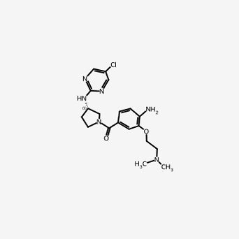 CN(C)CCOc1cc(C(=O)N2CC[C@H](Nc3ncc(Cl)cn3)C2)ccc1N